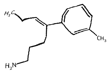 CC/C=C(\CCCN)c1cccc(C)c1